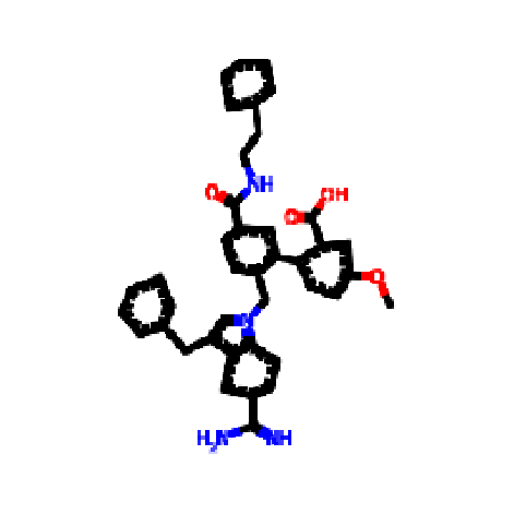 COc1ccc(-c2cc(C(=O)NCCc3ccccc3)ccc2Cn2cc(Cc3ccccc3)c3cc(C(=N)N)ccc32)c(C(=O)O)c1